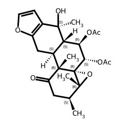 CC(=O)O[C@@H]1[C@@H]2[C@H](Cc3occc3[C@@]2(C)O)[C@@]2(C)C(=O)C[C@H](C)[C@@]3(C)O[C@]32[C@H]1OC(C)=O